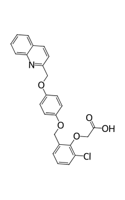 O=C(O)COc1c(Cl)cccc1COc1ccc(OCc2ccc3ccccc3n2)cc1